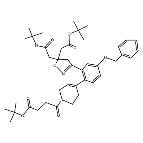 CC(C)(C)OC(=O)CCC(=O)N1CC=C(c2ccc(OCc3ccccc3)cc2C2=NOC(CC(=O)OC(C)(C)C)(CC(=O)OC(C)(C)C)C2)CC1